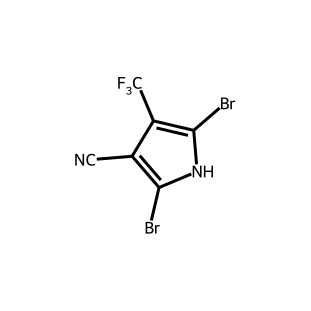 N#Cc1c(Br)[nH]c(Br)c1C(F)(F)F